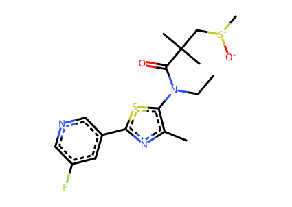 CCN(C(=O)C(C)(C)C[S+](C)[O-])c1sc(-c2cncc(F)c2)nc1C